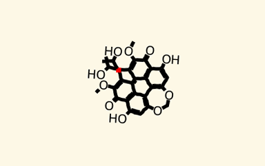 COc1c(CC(C)O)c2c3c(CC(C)O)c(OC)c(=O)c4c(O)cc5c(c6c(cc(O)c(c1=O)c62)OCO5)c43